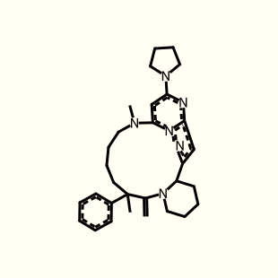 C=C1N2CCCCC2c2cc3nc(N4CCCC4)cc(n3n2)N(C)CCCCC1(C)c1ccccc1